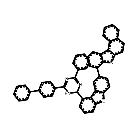 c1ccc(C2=NC(c3cccc4oc5ccc(-c6cccc7c6sc6ccc8ccccc8c67)cc5c34)NC(c3ccc(-c4ccccc4)cc3)=N2)cc1